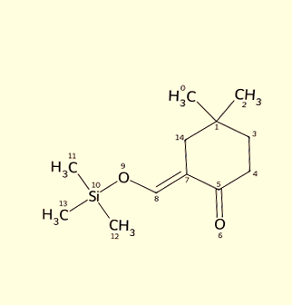 CC1(C)CCC(=O)/C(=C/O[Si](C)(C)C)C1